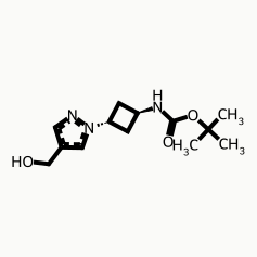 CC(C)(C)OC(=O)N[C@H]1C[C@H](n2cc(CO)cn2)C1